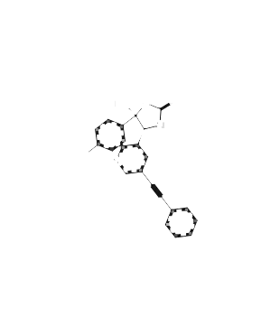 C[C@@]1(c2ccc(F)cc2)OC(=O)N[C@H]1c1cncc(C#Cc2ccccc2)c1